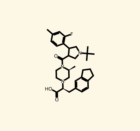 Cc1ccc(C2CN(C(C)(C)C)CC2C(=O)N2CCN([C@@H](Cc3ccc4c(c3)CCC4)C(=O)O)C[C@@H]2C)c(F)c1